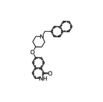 O=c1[nH]ccc2cc(OC3CCN(Cc4ccc5ccccc5c4)CC3)ccc12